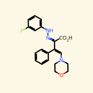 O=C(O)C(=N\Nc1cccc(F)c1)/C(=C/N1CCOCC1)c1ccccc1